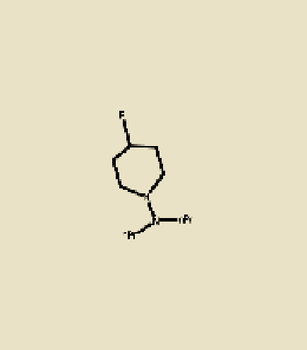 CCCN(CCC)N1CCC(F)CC1